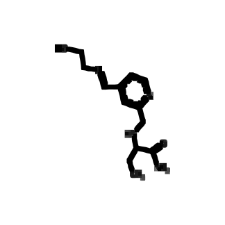 CCC(NCc1cc(/C=N/CCO)ccn1)C(N)=O